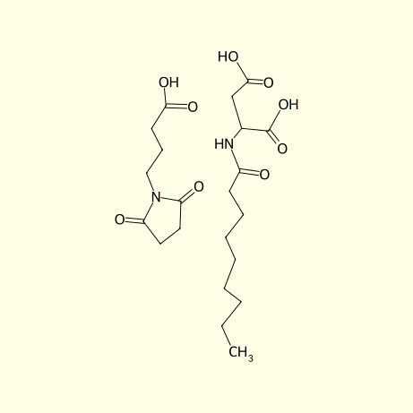 CCCCCCCCC(=O)NC(CC(=O)O)C(=O)O.O=C(O)CCCN1C(=O)CCC1=O